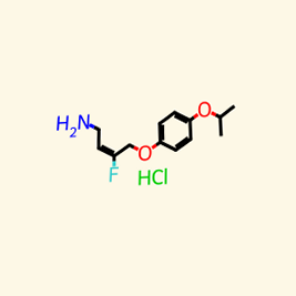 CC(C)Oc1ccc(OC/C(F)=C\CN)cc1.Cl